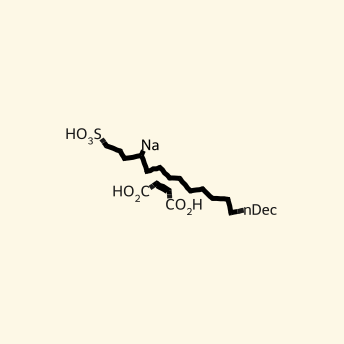 CCCCCCCCCCCCCCCCCCC[CH]([Na])CCCS(=O)(=O)O.O=C(O)/C=C\C(=O)O